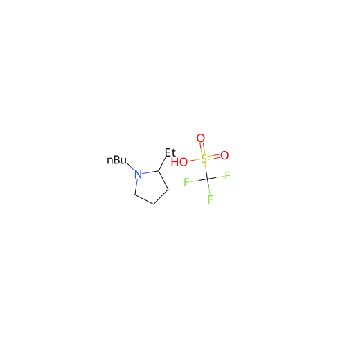 CCCCN1CCCC1CC.O=S(=O)(O)C(F)(F)F